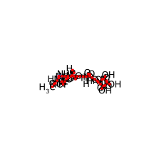 CCC(=O)NCCNC(=O)/N=C(/N)NCCC[C@@H](NC(=O)[C@H](c1ccccc1)c1cccc(OCCCCNc2c(NCCONC(=O)CN3CCN(CC(=O)O)CCN(CC(=O)O)CCN(CC(=O)O)CC3)c(=O)c2=O)c1)C(=O)NCc1c(F)cc(O)cc1F